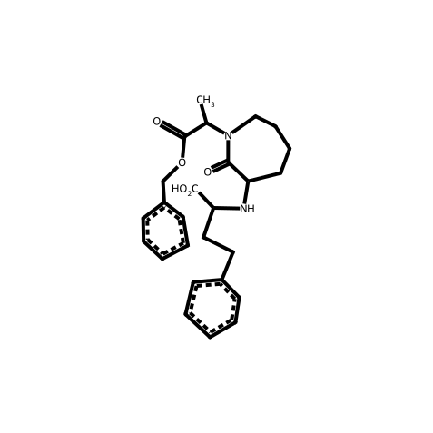 CC(C(=O)OCc1ccccc1)N1CCCCC(NC(CCc2ccccc2)C(=O)O)C1=O